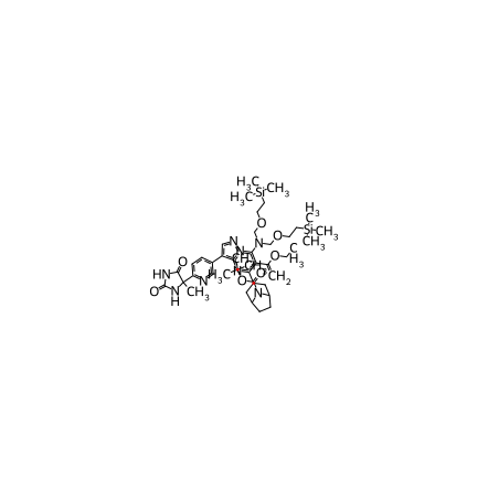 C=C(OCC)c1c(C2CC3CCC(C2)N3C(=O)OC(C)(C)C)nc2c(-c3ccc(C4(C)NC(=O)NC4=O)nc3)cnn2c1N(COCC[Si](C)(C)C)COCC[Si](C)(C)C